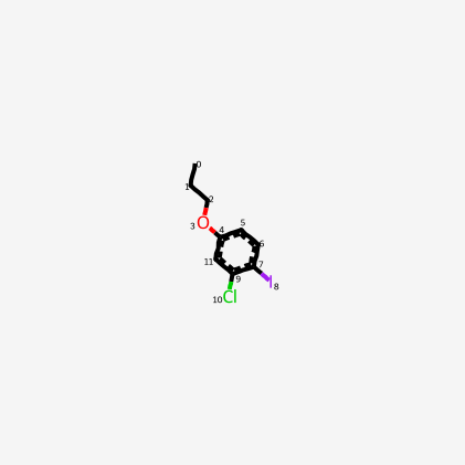 CCCOc1ccc(I)c(Cl)c1